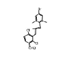 C/C(=C\c1c(C)cc(Br)cc1C)Cc1c(Cl)ccc(C=O)c1Cl